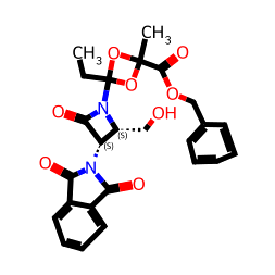 CCC1(N2C(=O)[C@@H](N3C(=O)c4ccccc4C3=O)[C@H]2CO)OC(C)(C(=O)OCc2ccccc2)O1